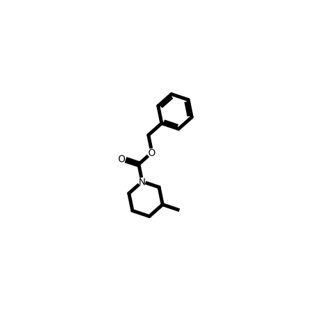 CC1CCCN(C(=O)OCc2ccccc2)C1